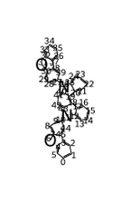 c1ccc2c(c1)oc1ccc(-n3c4ccccc4c4c5c6ccccc6n(-c6ccc7oc8ccccc8c7c6)c5ccc43)cc12